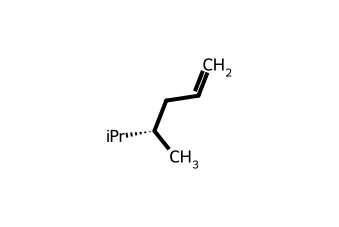 C=CC[C@H](C)C(C)C